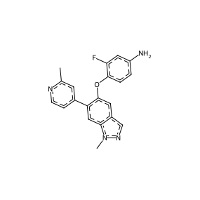 Cc1cc(-c2cc3c(cnn3C)cc2Oc2ccc(N)cc2F)ccn1